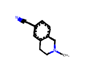 CN1CCc2cc(C#N)ccc2C1